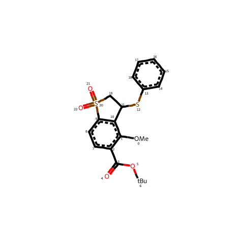 COc1c(C(=O)OC(C)(C)C)ccc2c1C(Sc1ccccc1)CS2(=O)=O